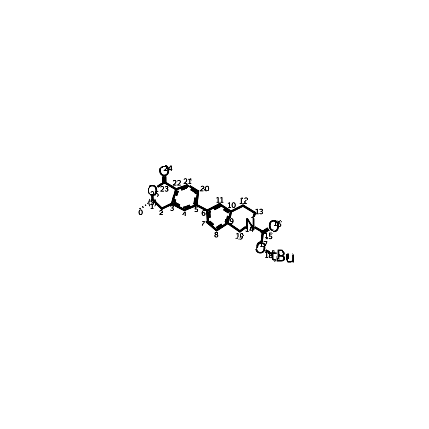 C[C@H]1Cc2cc(-c3ccc4c(c3)CCN(C(=O)OC(C)(C)C)C4)ccc2C(=O)O1